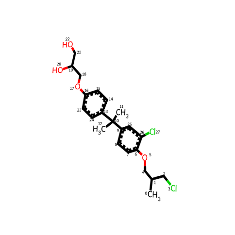 CC(CCl)COc1ccc(C(C)(C)c2ccc(OCC(O)CO)cc2)cc1Cl